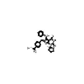 CN1C(=O)c2c(nn(Cc3ccc(C(=O)O)cc3)c2Nc2ccccc2)N2C1=NC1CCC[C@@H]12